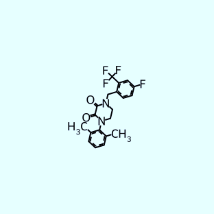 Cc1cccc(C)c1N1CCN(Cc2ccc(F)cc2C(F)(F)F)C(=O)C1=O